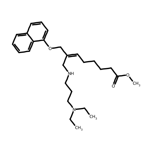 CCN(CC)CCCNCC(=CCCCCC(=O)OC)COc1cccc2ccccc12